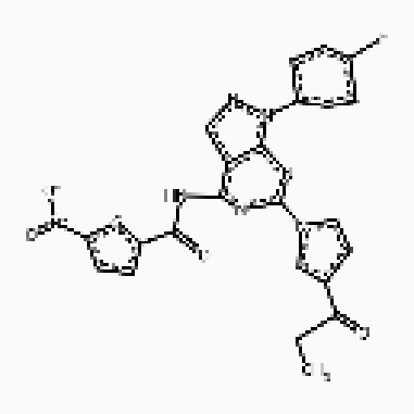 CCC(=O)c1ccn(-c2nc(NC(=O)c3ccc([N+](=O)[O-])s3)c3cnn(-c4ccc(F)cc4)c3n2)c1